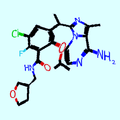 Cc1nc(C(C)c2cc(Cl)c(F)c(C(=O)NC[C@H]3CCOC3)c2OC(C)C)n2ccnc(N)c12